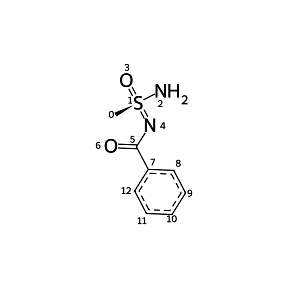 C[S@](N)(=O)=NC(=O)c1ccccc1